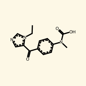 CCn1cncc1C(=O)c1ccc(N(C)C(=O)O)cc1